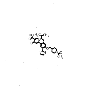 CC(=O)N1CCC(COc2cc3c(cc2-c2nccs2)-c2cc(=O)c(C(=O)O)cn2C(C(C)C)C3)CC1